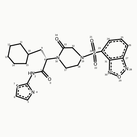 O=C(Nc1nccs1)[C@H](CC1CCCCC1)N1CCN(S(=O)(=O)c2cccc3nonc23)CC1=O